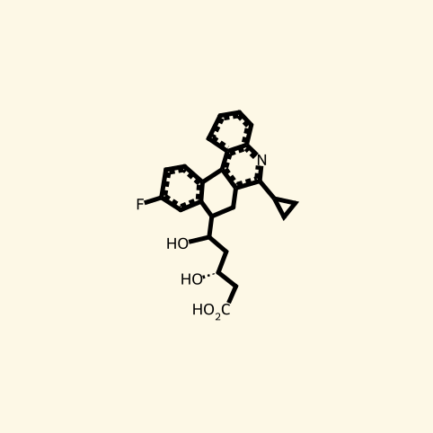 O=C(O)C[C@H](O)CC(O)C1Cc2c(C3CC3)nc3ccccc3c2-c2ccc(F)cc21